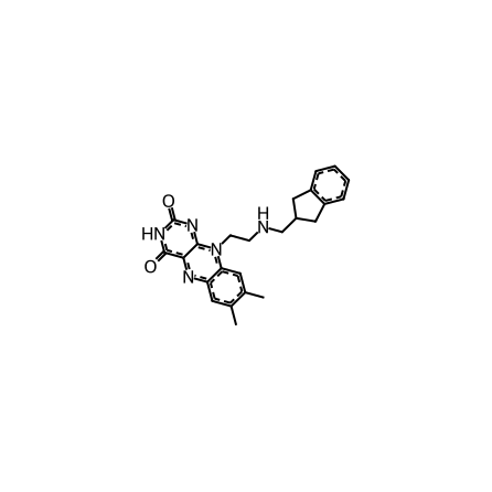 Cc1cc2nc3c(=O)[nH]c(=O)nc-3n(CCNCC3Cc4ccccc4C3)c2cc1C